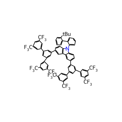 CC(C)(C)c1ccccc1-c1ccccc1-n1c2ccc(-c3cc(-c4cc(C(F)(F)F)cc(C(F)(F)F)c4)cc(-c4cc(C(F)(F)F)cc(C(F)(F)F)c4)c3)cc2c2cc(-c3cc(-c4cc(C(F)(F)F)cc(C(F)(F)F)c4)cc(-c4cc(C(F)(F)F)cc(C(F)(F)F)c4)c3)ccc21